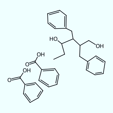 CCC(O)C(Cc1ccccc1)C(CO)Cc1ccccc1.O=C(O)c1ccccc1.O=C(O)c1ccccc1